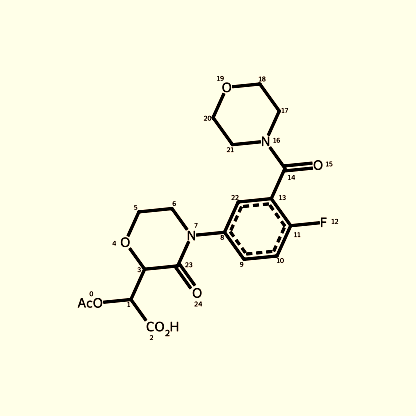 CC(=O)OC(C(=O)O)C1OCCN(c2ccc(F)c(C(=O)N3CCOCC3)c2)C1=O